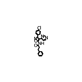 O=C(CCc1ccccc1)Nc1onc(-c2ccc(Cl)cc2)c1-c1ccncn1